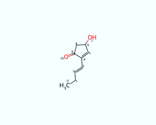 CCC=CC1=CC(O)CC1=O